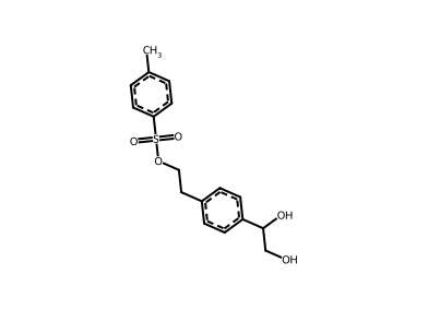 Cc1ccc(S(=O)(=O)OCCc2ccc(C(O)CO)cc2)cc1